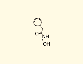 O=C(Cc1ccccc1)NCO